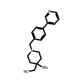 CC(C)(C)C1(CC#N)CCN(Cc2ccc(-c3cccnc3)cc2)CC1